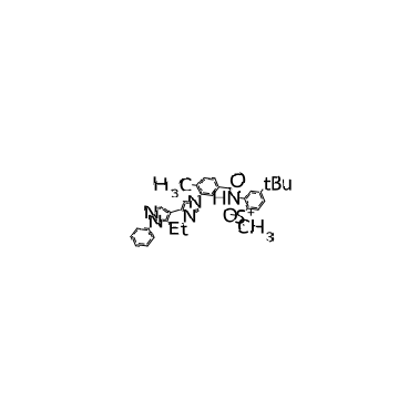 CCc1c(-c2cn(-c3cc(C(=O)Nc4cc(C(C)(C)C)ccc4[S+](C)[O-])ccc3C)cn2)cnn1-c1ccccc1